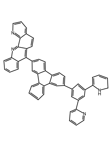 C1=CCNC(c2cc(-c3ccc4c5ccc(-c6c7ccccc7nc7c6ccc6cccnc67)cc5c5ccccc5c4c3)cc(-c3ccccn3)c2)=C1